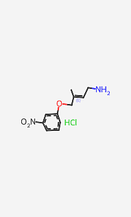 C/C(=C\CN)COc1cccc([N+](=O)[O-])c1.Cl